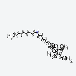 CCCCCCCC/C=C\CCCCCCCC(=O)OC(C(N)CCN)C(O)CO